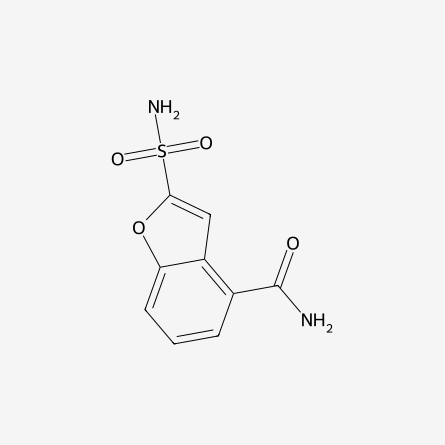 NC(=O)c1cccc2oc(S(N)(=O)=O)cc12